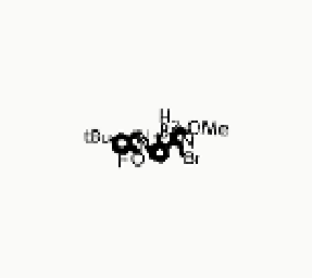 BCc1c(-c2ccc(OC)nc2CBr)cccc1-n1ncc2cc(C(C)(C)C)cc(F)c2c1=O